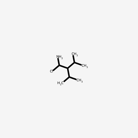 CC(C)C(C(C)C)C(N)Cl